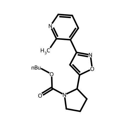 CCCCOC(=O)N1CCCC1c1cc(-c2cccnc2C)no1